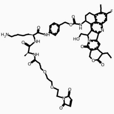 CCC1C(=O)OCc2c1cc1n(c2=O)C(CO)c2c-1nc1cc(F)c(C)c3c1c2C(NC(=O)OCc1ccc(NC(=O)[C@H](CCCCN)NC(=O)[C@H](C)NC(=O)CCOCCOCCN2C(=O)C=CC2=O)cc1)CC3